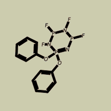 FN1P(F)N=P(Oc2ccccc2)(Oc2ccccc2)N(F)P1F